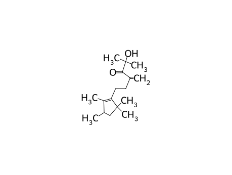 C=C(CCC1=C(C)C(C)CC1(C)C)C(=O)C(C)(C)O